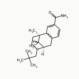 C[C@H]1[C@H]2Cc3ccc(C(N)=O)cc3[C@]1(C)CCN2CC(C)(C)C